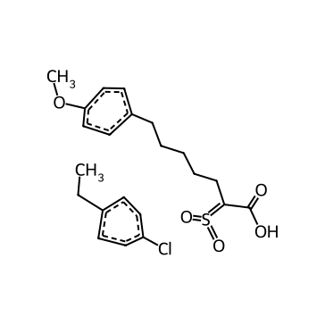 CCc1ccc(Cl)cc1.COc1ccc(CCCCCC(C(=O)O)=S(=O)=O)cc1